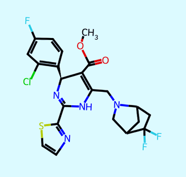 COC(=O)C1=C(CN2CC3CC2CC3(F)F)NC(c2nccs2)=N[C@H]1c1ccc(F)cc1Cl